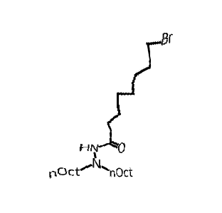 CCCCCCCCN(CCCCCCCC)NC(=O)CCCCCCCBr